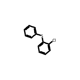 Clc1cc[c]cc1Sc1ccccc1